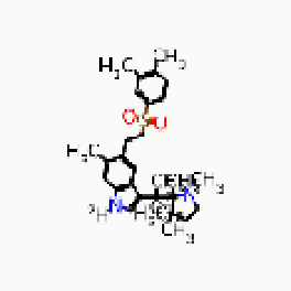 [2H]n1cc(C(C)(C)[C@]2(C)N(C)CCC2(C)C)c2cc(CCS(=O)(=O)c3ccc(C)c(C)c3)c(C)cc21